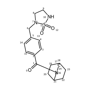 O=C(c1ccc(CN2CCNS2(=O)=O)cc1)N1CC2CCC(CC2)C1